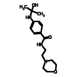 CC(C)(O)Nc1ccc(C(=O)NCCN2CCOCC2)cc1